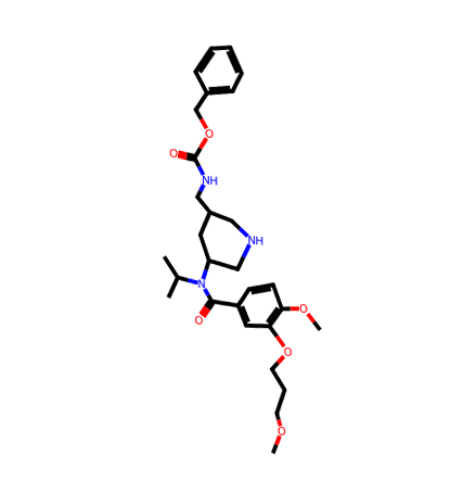 COCCCOc1cc(C(=O)N(C(C)C)C2CNCC(CNC(=O)OCc3ccccc3)C2)ccc1OC